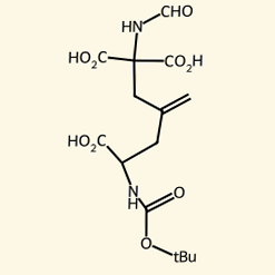 C=C(CC(NC(=O)OC(C)(C)C)C(=O)O)CC(NC=O)(C(=O)O)C(=O)O